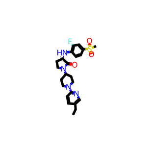 CCc1ccc(N2CCC(N3CC[C@H](Nc4ccc(S(C)(=O)=O)cc4F)C3=O)CC2)nc1